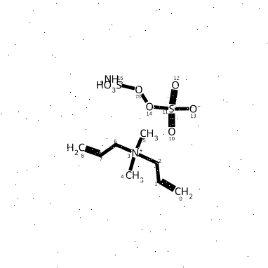 C=CC[N+](C)(C)CC=C.N.O=S(=O)([O-])OOS(=O)(=O)O